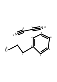 BrCCc1ccccc1.N#CC#N